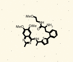 COCCNC(=O)C(N)Cc1ccccc1-c1ccc(C(C)Nc2nc(C)nc3cc(OC)c(OC)cc23)s1